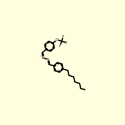 CCCCCCCc1ccc(/C=N/N=C\c2ccc(OC(F)(F)F)cc2)cc1